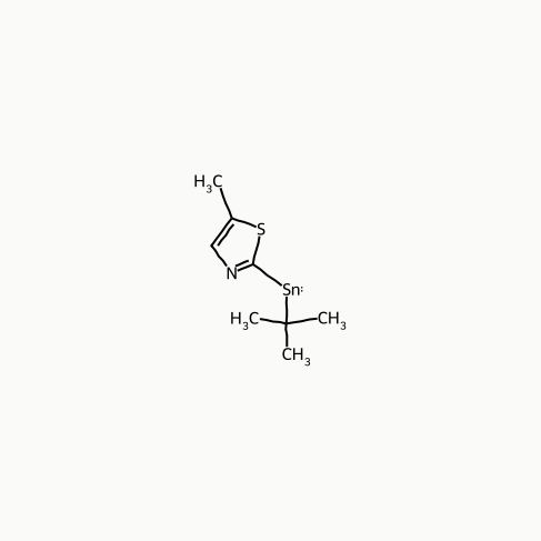 Cc1cn[c]([Sn][C](C)(C)C)s1